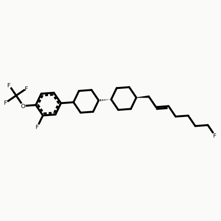 FCCCC/C=C/C[C@H]1CC[C@H](C2CCC(c3ccc(OC(F)(F)F)c(F)c3)CC2)CC1